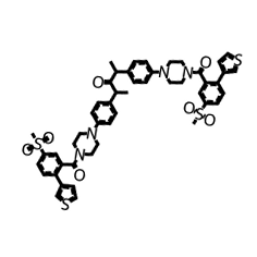 CC(C(=O)C(C)c1ccc(N2CCN(C(=O)c3cc(S(C)(=O)=O)ccc3-c3ccsc3)CC2)cc1)c1ccc(N2CCN(C(=O)c3cc(S(C)(=O)=O)ccc3-c3ccsc3)CC2)cc1